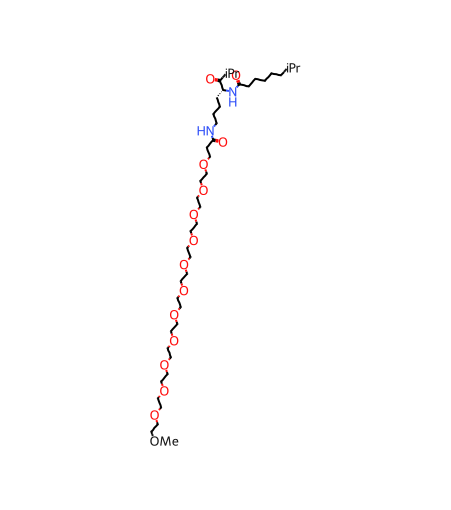 COCCOCCOCCOCCOCCOCCOCCOCCOCCOCCOCCOCCC(=O)NCCCC[C@@H](NC(=O)CCCCCC(C)C)C(=O)C(C)C